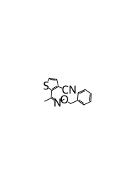 CC(=NOCc1ccccc1)c1sccc1C#N